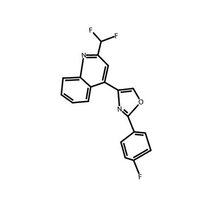 Fc1ccc(-c2nc(-c3cc(C(F)F)nc4ccccc34)co2)cc1